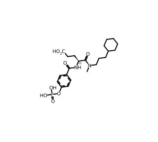 CN(CCCC1CCCCC1)C(=O)[C@H](CCC(=O)O)NC(=O)c1ccc(OP(=O)(O)O)cc1